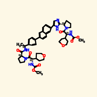 COC(=O)N[C@H](C(=O)N1CCC[C@H]1C(=O)N[C@@H](C)c1ccc(-c2ccc3cc(-c4cnc([C@@H]5CCCN5C(=O)[C@@H](NC(=O)OC)C5CCOCC5)[nH]4)ccc3c2)cc1)C1CCOCC1